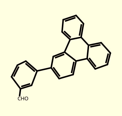 O=Cc1cccc(-c2ccc3c4ccccc4c4ccccc4c3c2)c1